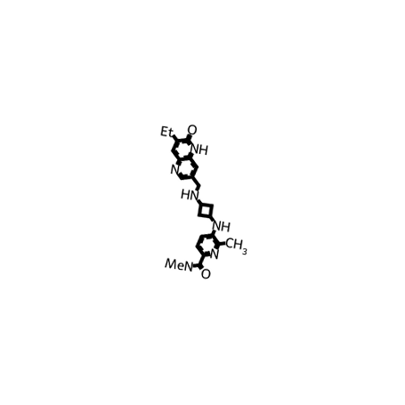 CCc1cc2ncc(CNC3CC(Nc4ccc(C(=O)NC)nc4C)C3)cc2[nH]c1=O